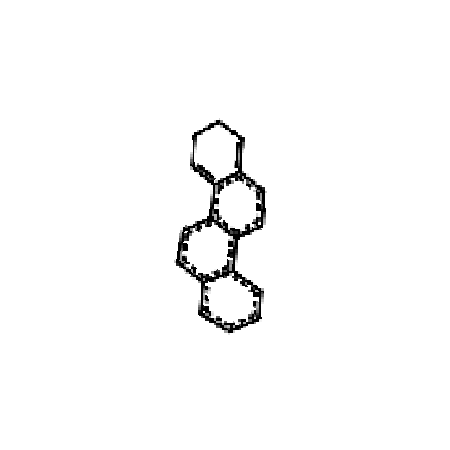 C1=c2ccc3c(ccc4ccccc43)c2=CCC1